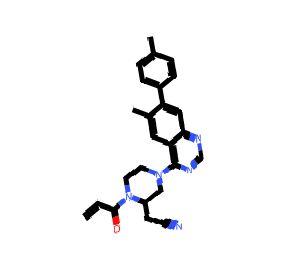 C=CC(=O)N1CCN(c2ncnc3cc(-c4ccc(C)cc4)c(C)cc23)CC1CC#N